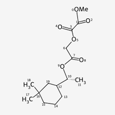 COC(=O)C(=O)OCC(=O)O[C@H](C)C1CCCC(C)(C)C1